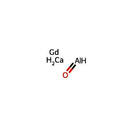 [CaH2].[Gd].[O]=[AlH]